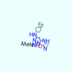 CNNc1nc(NC2CCC(F)(F)CC2)cc(NC2CCN(C)C2=O)n1